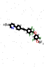 CCCCc1ccc(-c2ccc(C#Cc3cc(F)c(C(F)(F)Oc4cc(F)c(OC(F)(F)F)c(F)c4)c(F)c3)cc2)nc1